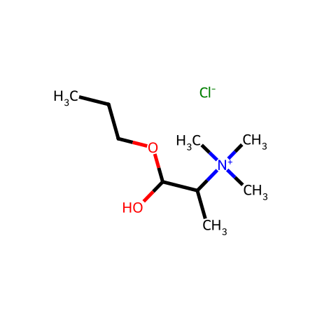 CCCOC(O)C(C)[N+](C)(C)C.[Cl-]